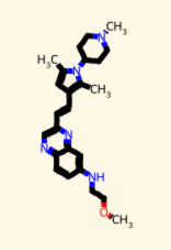 COCCNc1ccc2ncc(C=Cc3cc(C)n(C4CCN(C)CC4)c3C)nc2c1